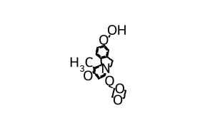 Cc1c2n(c(OC[C@@H]3COCCO3)cc1=O)CCc1cc(OCO)ccc1-2